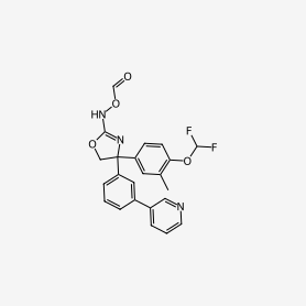 Cc1cc(C2(c3cccc(-c4cccnc4)c3)COC(NOC=O)=N2)ccc1OC(F)F